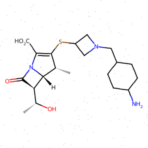 C[C@@H](O)[C@H]1C(=O)N2C(C(=O)O)=C(SC3CN(CC4CCC(N)CC4)C3)[C@H](C)[C@H]12